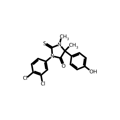 CN1C(=S)N(c2ccc(Cl)c(Cl)c2)C(=O)C1(C)c1ccc(O)cc1